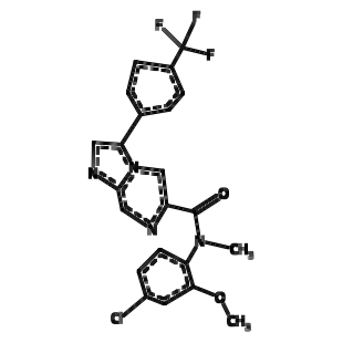 COc1cc(Cl)ccc1N(C)C(=O)c1cn2c(-c3ccc(C(F)(F)F)cc3)cnc2cn1